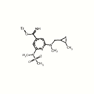 CCOC(=N)c1cc(N(C)CC2CC2C)nc(N(C)S(C)(=O)=O)c1